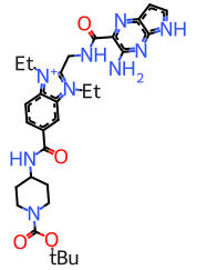 CCn1c(CNC(=O)c2nc3cc[nH]c3nc2N)[n+](CC)c2ccc(C(=O)NC3CCN(C(=O)OC(C)(C)C)CC3)cc21